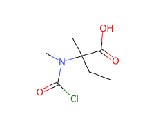 CCC(C)(C(=O)O)N(C)C(=O)Cl